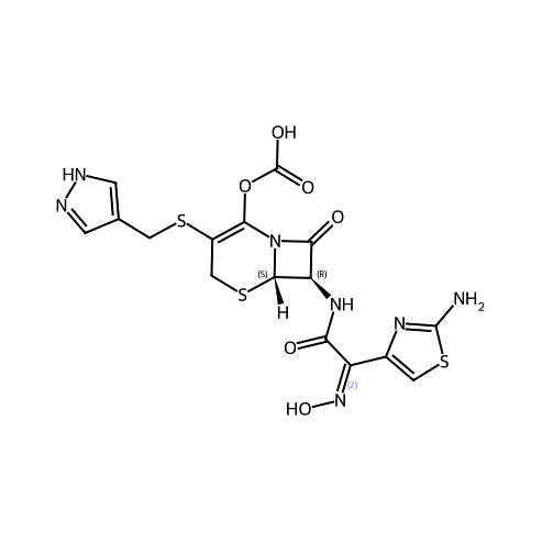 Nc1nc(/C(=N/O)C(=O)N[C@@H]2C(=O)N3C(OC(=O)O)=C(SCc4cn[nH]c4)CS[C@@H]23)cs1